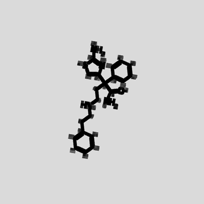 NC(=O)C(CCNCCc1ccccc1)(c1ccccc1)c1csc(N)n1